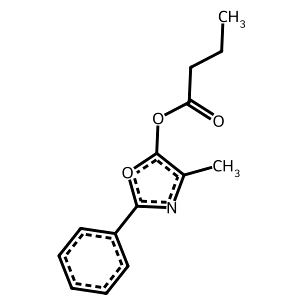 CCCC(=O)Oc1oc(-c2ccccc2)nc1C